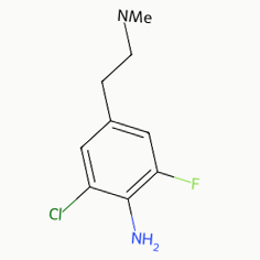 CNCCc1cc(F)c(N)c(Cl)c1